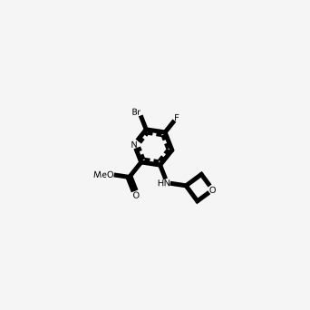 COC(=O)c1nc(Br)c(F)cc1NC1COC1